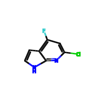 Fc1cc(Cl)nc2[nH]ccc12